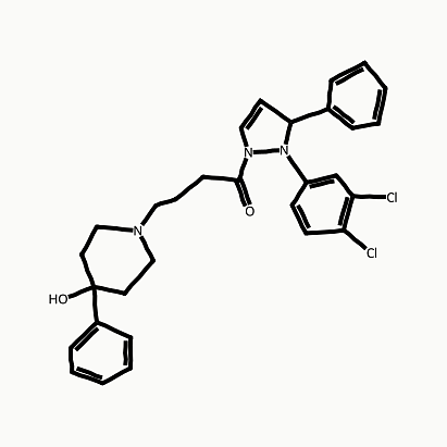 O=C(CCCN1CCC(O)(c2ccccc2)CC1)N1C=CC(c2ccccc2)N1c1ccc(Cl)c(Cl)c1